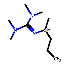 CN(C)C(=N[SiH](C)CCC(F)(F)F)N(C)C